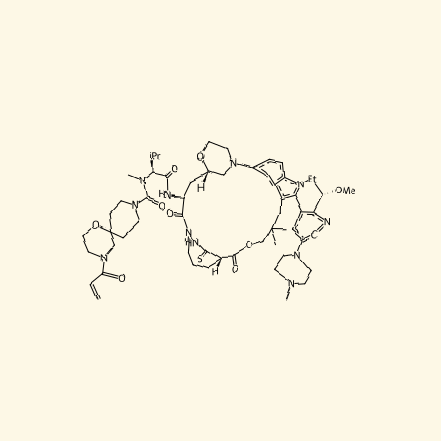 C=CC(=O)N1CCOC2(CCN(C(=O)N(C)[C@H](C(=O)N[C@H]3C[C@H]4CN(CCO4)c4ccc5c(c4)c(c(-c4cc(N6CCN(C)CC6)cnc4[C@H](C)OC)n5CC)CC(C)(C)COC(=O)[C@@H]4CCCN(NC4=S)C3=O)C(C)C)CC2)C1